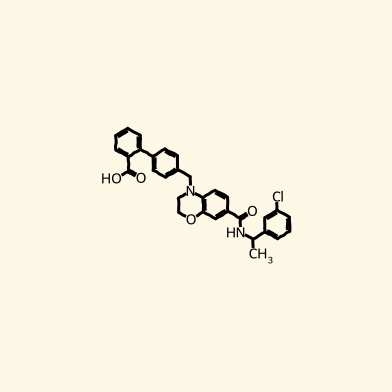 CC(NC(=O)c1ccc2c(c1)OCCN2Cc1ccc(-c2ccccc2C(=O)O)cc1)c1cccc(Cl)c1